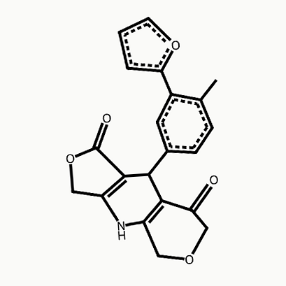 Cc1ccc(C2C3=C(COCC3=O)NC3=C2C(=O)OC3)cc1-c1ccco1